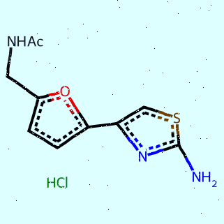 CC(=O)NCc1ccc(-c2csc(N)n2)o1.Cl